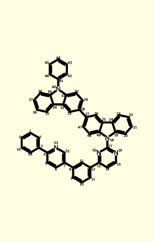 c1ccc(-c2ccc(-c3cccc(-c4ccnc(-n5c6ccccc6c6cc(-c7ccc8c(c7)c7ccccc7n8-c7ccccc7)ccc65)n4)c3)cn2)cc1